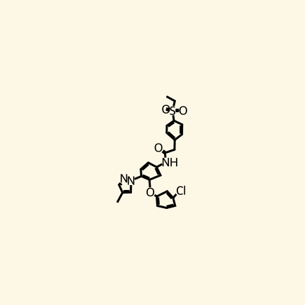 CCS(=O)(=O)c1ccc(CC(=O)Nc2ccc(-n3cc(C)cn3)c(Oc3cccc(Cl)c3)c2)cc1